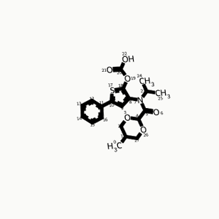 CC1COC(C(=O)N(c2cc(-c3ccccc3)sc2OC(=O)O)C(C)C)OC1